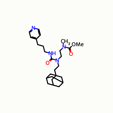 COC(=O)N(C)CCN(CCC12CC3CC(CC(C3)C1)C2)C(=O)NCCCc1ccncc1